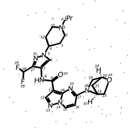 CC(C)N1CCC(n2cc(NC(=O)c3cnn4ccc(N5C[C@@H]6C[C@H]5CO6)nc34)c(C(F)F)n2)CC1